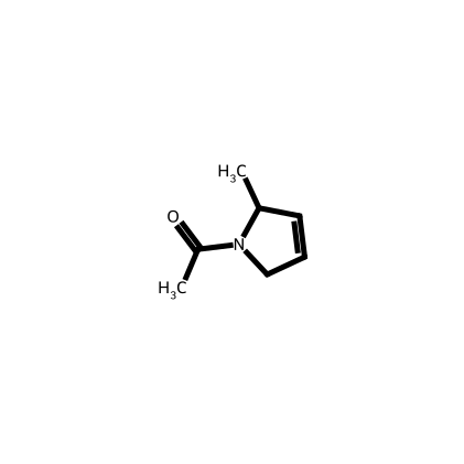 CC(=O)N1CC=CC1C